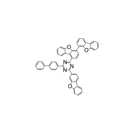 c1ccc(-c2ccc(-c3nc(-c4ccc5c(c4)oc4ccccc45)nc(-c4ccc(-c5cccc6c5oc5ccccc56)c5oc6ccccc6c45)n3)cc2)cc1